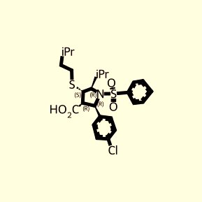 CC(C)CCS[C@H]1[C@@H](C(=O)O)[C@H](c2ccc(Cl)cc2)N(S(=O)(=O)c2ccccc2)[C@@H]1C(C)C